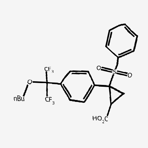 CCCCOC(c1ccc(C2(S(=O)(=O)c3ccccc3)CC2C(=O)O)cc1)(C(F)(F)F)C(F)(F)F